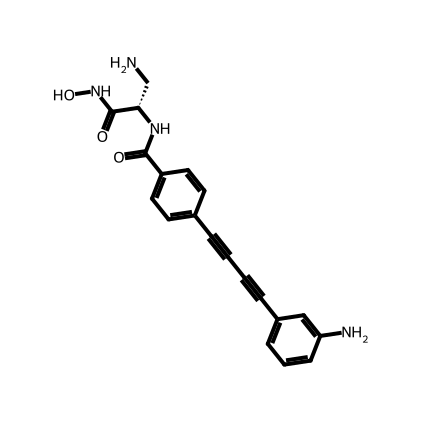 NC[C@H](NC(=O)c1ccc(C#CC#Cc2cccc(N)c2)cc1)C(=O)NO